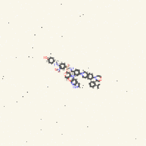 CC(C)c1ccccc1[C@@H]1COCCN1C1CCC2(CC1)CCN(c1ccc(C(=O)NS(=O)(=O)c3ccc(NC[C@H]4CC[C@](C)(O)CC4)c([N+](=O)[O-])c3)c(N3c4cc5cc[nH]c5nc4O[C@H]4COCC[C@@H]43)c1)CC2